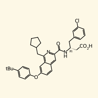 CC(C)(C)c1ccc(Oc2ccc3cc(C(=O)N[C@@H](CC(=O)O)Cc4cccc(Cl)c4)nc(CC4CCCC4)c3c2)cc1